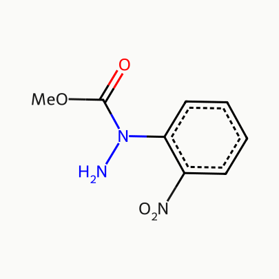 COC(=O)N(N)c1ccccc1[N+](=O)[O-]